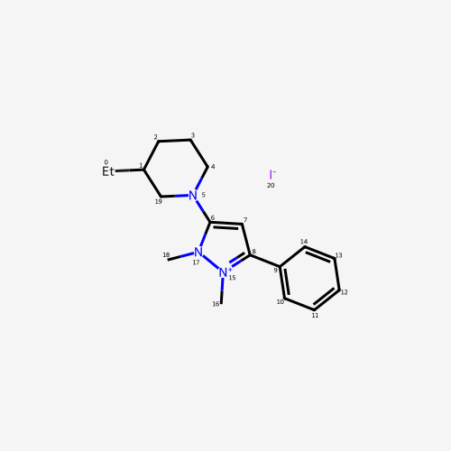 CCC1CCCN(c2cc(-c3ccccc3)[n+](C)n2C)C1.[I-]